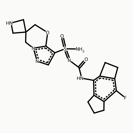 NS(=O)(=NC(=O)Nc1c2c(c(F)c3c1CC3)CCC2)c1cnn2c1OCC1(CNC1)C2